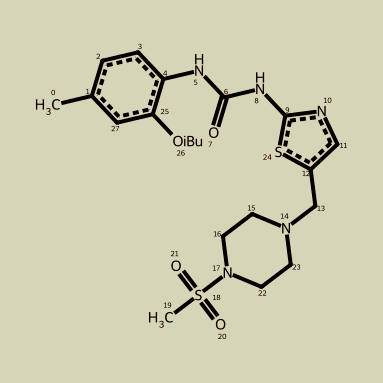 Cc1ccc(NC(=O)Nc2ncc(CN3CCN(S(C)(=O)=O)CC3)s2)c(OCC(C)C)c1